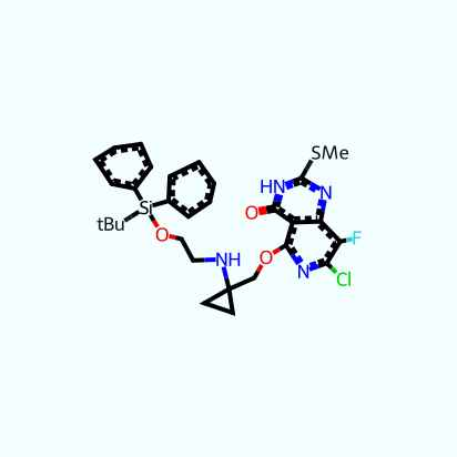 CSc1nc2c(F)c(Cl)nc(OCC3(NCCO[Si](c4ccccc4)(c4ccccc4)C(C)(C)C)CC3)c2c(=O)[nH]1